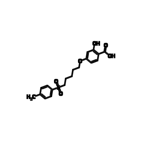 Cc1ccc(S(=O)(=O)CCCCCOc2ccc(C(=O)O)c(O)c2)cc1